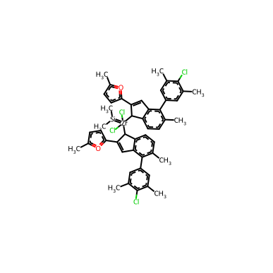 Cc1ccc(C2=Cc3c(ccc(C)c3-c3cc(C)c(Cl)c(C)c3)[CH]2[Zr]([Cl])([Cl])([CH]2C(c3ccc(C)o3)=Cc3c2ccc(C)c3-c2cc(C)c(Cl)c(C)c2)=[Si](C)C)o1